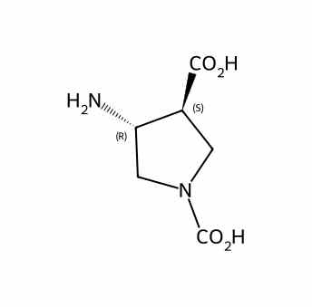 N[C@H]1CN(C(=O)O)C[C@@H]1C(=O)O